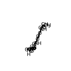 C[C@@H](CCC(=O)NCCCOCCOCCOCCCNC(=O)COc1cccc2c1C(=O)N(C1CCC(=O)NC1=O)C2=O)C(=O)O